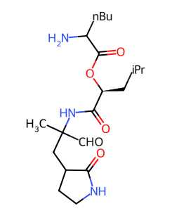 CCCCC(N)C(=O)O[C@@H](CC(C)C)C(=O)NC(C)(C=O)CC1CCNC1=O